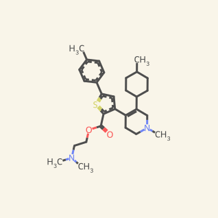 Cc1ccc(-c2cc(C3=C(C4CCC(C)CC4)CN(C)CC3)c(C(=O)OCCN(C)C)s2)cc1